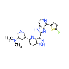 CN(C)c1cncc(-c2ccc3[nH]nc(-c4nc5c(-c6ccc(F)s6)nccc5[nH]4)c3n2)c1